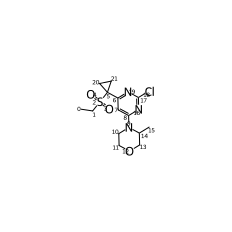 CCS(=O)(=O)C1(c2cc(N3CCOCC3C)nc(Cl)n2)CC1